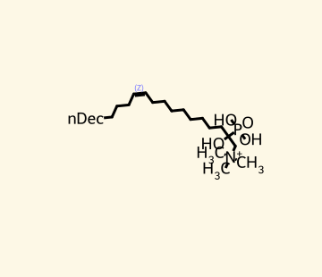 CCCCCCCCCCCCC/C=C\CCCCCCCCC(O)(C[N+](C)(C)C)P(=O)(O)O